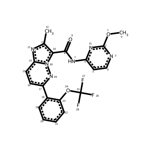 COc1nccc(NC(=O)c2c(C)nc3ccc(-c4ccccc4OC(F)(F)F)nn23)n1